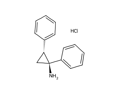 Cl.N[C@@]1(c2ccccc2)C[C@@H]1c1ccccc1